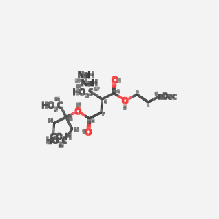 CCCCCCCCCCCCOC(=O)C(CC(=O)OC(CC(=O)O)(CC(=O)O)C(=O)O)S(=O)(=O)O.[NaH].[NaH]